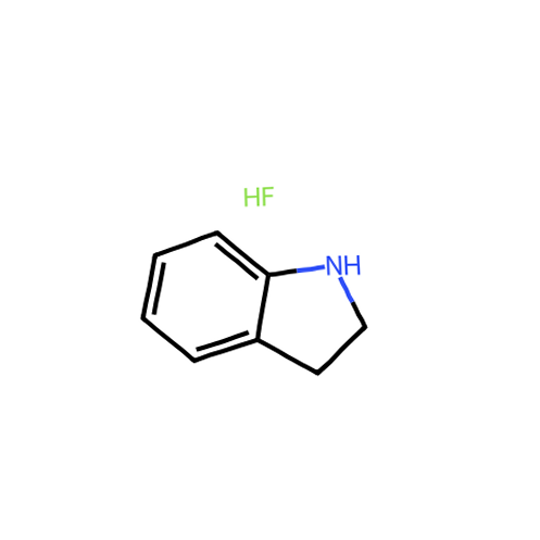 F.c1ccc2c(c1)CCN2